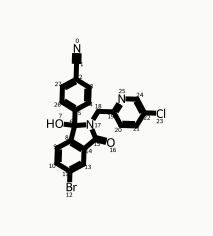 N#Cc1ccc(C2(O)c3ccc(Br)cc3C(=O)N2Cc2ccc(Cl)cn2)cc1